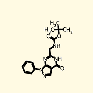 CC(C)(C)OC(=O)NCc1nc2c(cnn2-c2ccccc2)c(=O)[nH]1